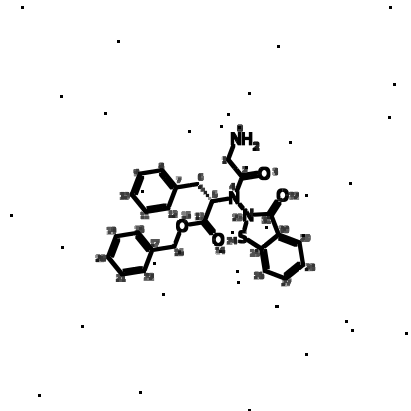 NCC(=O)N([C@@H](Cc1ccccc1)C(=O)OCc1ccccc1)n1sc2ccccc2c1=O